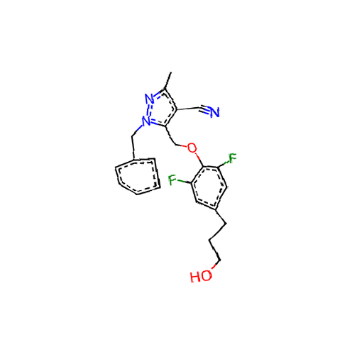 Cc1nn(Cc2ccccc2)c(COc2c(F)cc(CCCO)cc2F)c1C#N